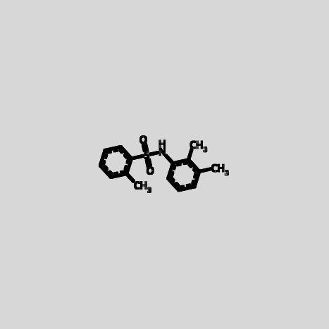 Cc1ccccc1S(=O)(=O)Nc1cccc(C)c1C